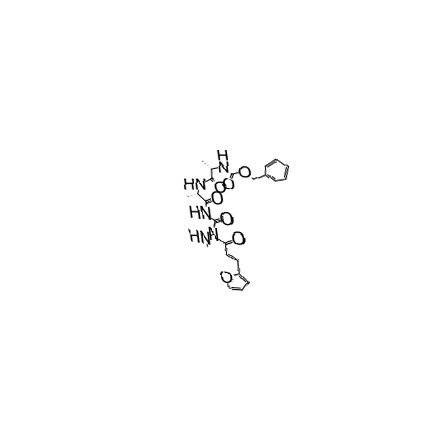 CNN(C(=O)/C=C/c1ccco1)C(=O)NC(=O)[C@H](C)NC(=O)[C@H](C)NC(=O)OCc1ccccc1